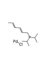 CC=CC=CCP(C(C)C)C(C)C.[Cl][Pd]